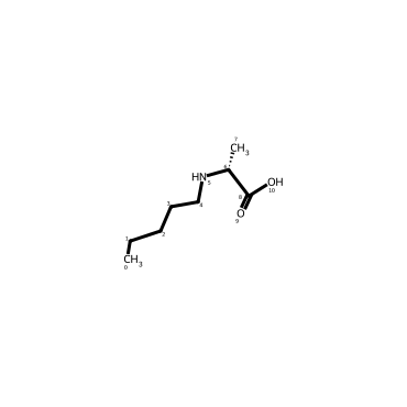 CCCCCN[C@H](C)C(=O)O